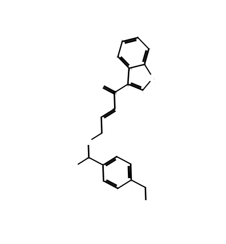 CCCCC(OCC=CC(=O)c1c[nH]c2ccccc12)c1ccc(CC(C)C)cc1